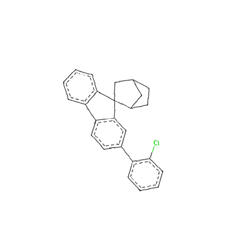 Clc1ccccc1-c1ccc2c(c1)C1(CC3CCC1C3)c1ccccc1-2